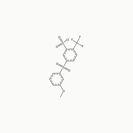 COc1cccc(S(=O)(=O)c2ccc(C(F)(F)F)c(S(=O)(=O)Cl)c2)c1